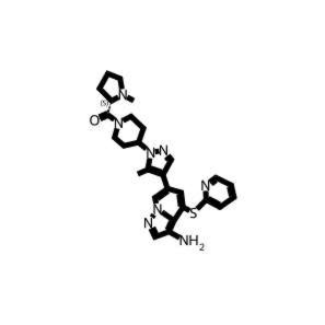 Cc1c(-c2cc(Sc3ccccn3)c3c(N)cnn3c2)cnn1C1CCN(C(=O)[C@@H]2CCCN2C)CC1